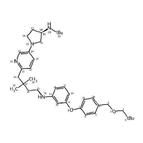 CC(C)(C)COCc1ccc(Oc2cccc(NCCC(C)(C)Cc3ccc(N4CC[C@@H](NC(C)(C)C)C4)cn3)c2)cc1